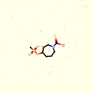 CS(=O)(=O)OC1CCCN(C(=O)O)CC1